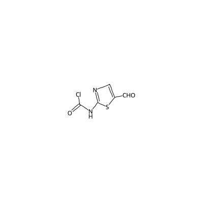 O=Cc1cnc(NC(=O)Cl)s1